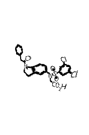 O=C(O)CN(c1ccc2c(c1)CCN2C(=O)Cc1ccccc1)S(=O)(=O)c1cc(Cl)cc(Cl)c1